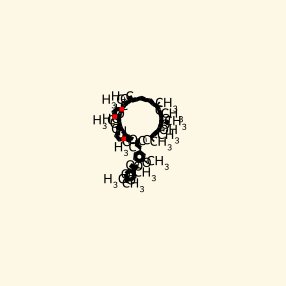 CO[C@H]1C[C@@H]2CC[C@@H](C)[C@@](O)(O2)C(=O)C(=O)N2CCCC[C@H]2C(=O)O[C@H]([C@H](C)C[C@@H]2CC[C@@H](OC(=O)C3(C)COC(C)(C)OC3)[C@H](OC)C2)CC[C@H](C)/C=C(\C)[C@@H](O)[C@@H](OC)C(=O)[C@H](C)C[C@H](C)/C=C/C=C/C=C/1C